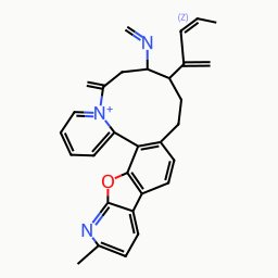 C=NC1CC(=C)[n+]2ccccc2-c2c(ccc3c2oc2nc(C)ccc23)CCC1C(=C)/C=C\C